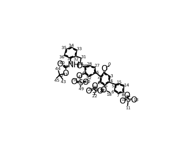 COc1cc(-c2ccc(OS(C)(=O)=O)cc2)c(OC)c(OS(C)(=O)=O)c1-c1ccc(OCc2ccccc2NC(=O)OC(C)(C)C)c(OS(C)(=O)=O)c1